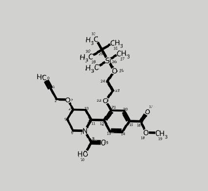 C#CCOC1CCN(C(=O)O)C(c2ccc(C(=O)OC)cc2OCCO[Si](C)(C)C(C)(C)C)C1